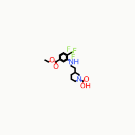 CCOC(=O)c1ccc(C(F)(F)F)c(NCCC2CCCN(C(=O)O)C2)c1